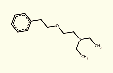 CCN(CC)CCOCCc1ccccc1